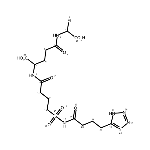 CCC(NC(=O)CCC(NC(=O)CCCS(=O)(=O)NC(=O)CCCc1nnn[nH]1)C(=O)O)C(=O)O